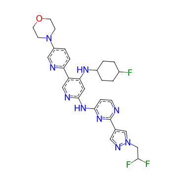 FC(F)Cn1cc(-c2nccc(Nc3cc(NC4CCC(F)CC4)c(-c4ccc(N5CCOCC5)cn4)cn3)n2)cn1